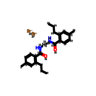 CCCc1cc(C)ccc1C(=O)[NH][Hf+2][NH]C(=O)c1ccc(C)cc1CCC.[Br-].[Br-]